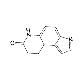 O=C1CCC2C(=CC=C3N=CC=C32)N1